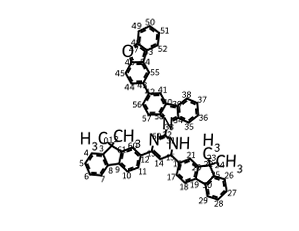 CC1(C)c2ccccc2-c2ccc(C3=CC(c4ccc5c(c4)C(C)(C)c4ccccc4-5)NC(n4c5ccccc5c5cc(-c6ccc7oc8ccccc8c7c6)ccc54)=N3)cc21